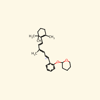 CC(C=CC1=C(C)CCCC1(C)C)=C/C=C/c1ccccc1OC1CCCCO1